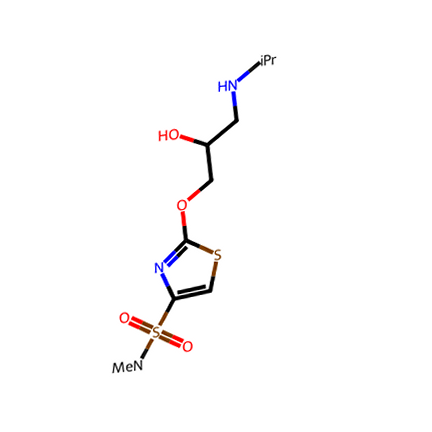 CNS(=O)(=O)c1csc(OCC(O)CNC(C)C)n1